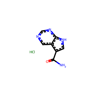 Cl.NC(=O)c1c[nH]c2ncncc12